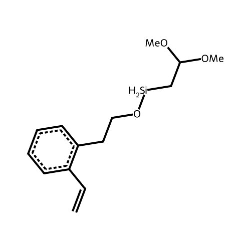 C=Cc1ccccc1CCO[SiH2]CC(OC)OC